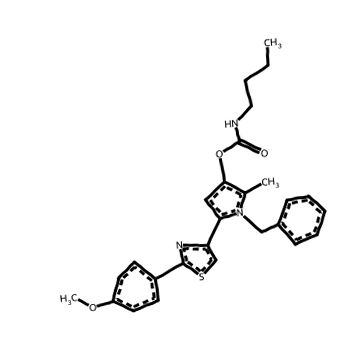 CCCCNC(=O)Oc1cc(-c2csc(-c3ccc(OC)cc3)n2)n(Cc2ccccc2)c1C